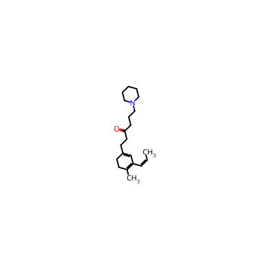 C/C=C\C1=C(C)CCC(CCC(=O)CCCN2CCCCC2)=C1